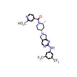 C[C@@H]1C[C@H](N2Cc3cnc(Nc4cc(C(F)(F)F)cc(C(F)(F)F)c4)nc3C2)CCN1C(=O)c1ccnc(C(=O)O)c1